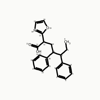 CCC(c1ccccc1)C(CC(C(=O)O)c1ncco1)c1ccccc1